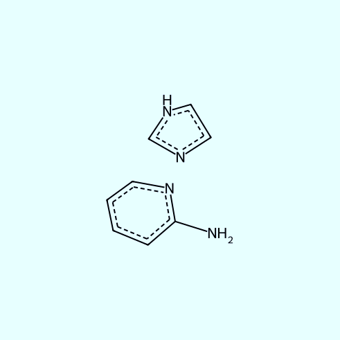 Nc1ccccn1.c1c[nH]cn1